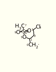 [CH2]C(CCCl)OS(C)(=O)=O